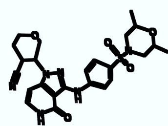 CC1CN(S(=O)(=O)c2ccc(Nc3nn(C4COCCC4C#N)c4cc[nH]c(=O)c34)cc2)CC(C)O1